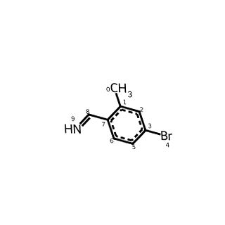 Cc1cc(Br)ccc1C=N